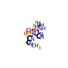 [2H]C([2H])([2H])NC(=O)c1nnccc1Nc1nc2c(ccn2C)cc1S(C)(=O)=O